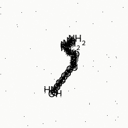 Nc1nc2cc(-c3nn(Cc4ccc5c(c4)CCN(C(=O)C4CCN(C6CCN(C(=O)CCOCCOCCOCCOCCOCCOCCNC(=O)CO)CC6)CC4)C5)c4ncnc(N)c34)ccc2o1